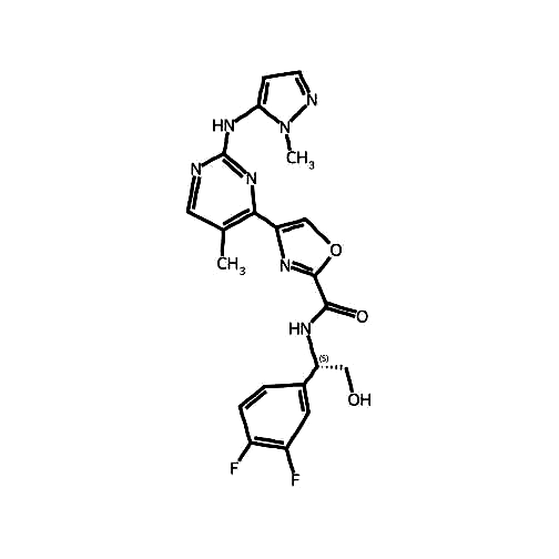 Cc1cnc(Nc2ccnn2C)nc1-c1coc(C(=O)N[C@H](CO)c2ccc(F)c(F)c2)n1